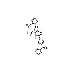 [C-]#[N+]C(C)(COc1ccccc1C(F)(F)F)NC(=O)c1ccc(C(=O)c2ccccc2)cc1